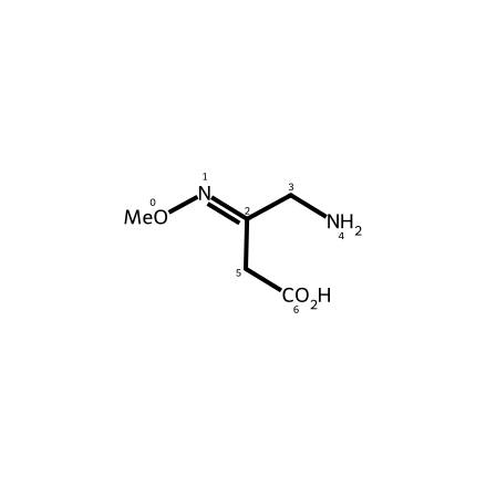 CON=C(CN)CC(=O)O